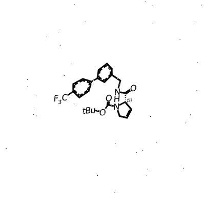 CC(C)(C)OC(=O)N1CC=C[C@H]1C(=O)NCc1cccc(-c2ccc(C(F)(F)F)cc2)c1